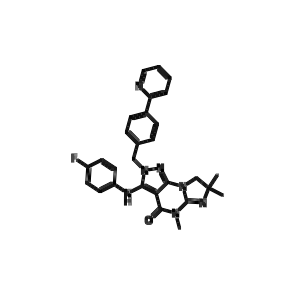 CN1C(=O)c2c(nn(Cc3ccc(-c4ccccn4)cc3)c2Nc2ccc(F)cc2)N2CC(C)(C)N=C12